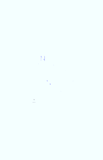 CC(=O)C[n+]1ccsc1N